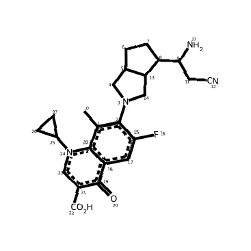 Cc1c(N2CC3CCC(C(N)CC#N)C3C2)c(F)cc2c(=O)c(C(=O)O)cn(C3CC3)c12